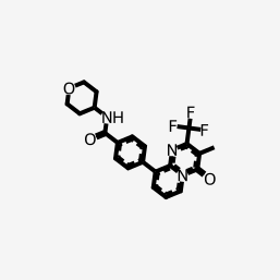 Cc1c(C(F)(F)F)nc2c(-c3ccc(C(=O)NC4CCOCC4)cc3)cccn2c1=O